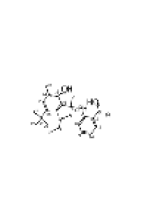 CCCCC(C)(Pc1ccccc1C(C)O)c1cc(C(C)(C)C)cc(C)c1O